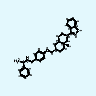 CC(NCc1ccc(OC[C@@H]2CC[C@H]3CN(c4noc5ccccc45)CCN3C2)nc1)c1ccccc1